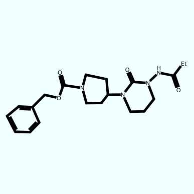 CCC(=O)NN1CCCN(C2CCN(C(=O)OCc3ccccc3)CC2)C1=O